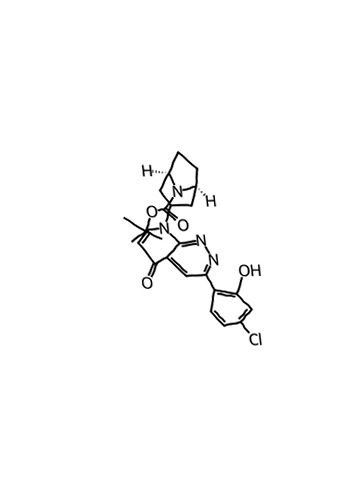 CC(C)(C)OC(=O)N1[C@@H]2CC[C@H]1CC(n1ccc(=O)c3cc(-c4ccc(Cl)cc4O)nnc31)C2